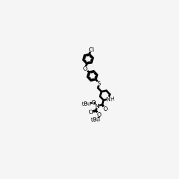 CC(C)(C)OC(=O)N(OC(C)(C)C)C(=O)C1CC(CSc2ccc(Oc3ccc(Cl)cc3)cc2)CCN1